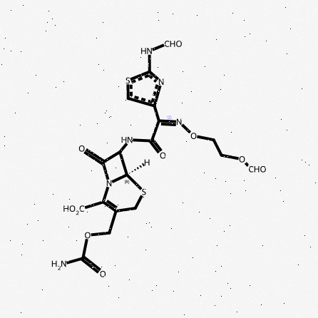 NC(=O)OCC1=C(C(=O)O)N2C(=O)C(NC(=O)/C(=N\OCCOC=O)c3csc(NC=O)n3)[C@H]2SC1